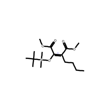 CCCC/C(C(=O)OC)=C(\O[Si](C)(C)C(C)(C)C)C(=O)OC